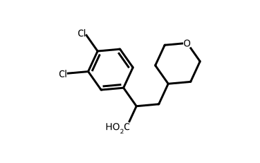 O=C(O)C(CC1CCOCC1)c1ccc(Cl)c(Cl)c1